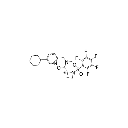 CN(Cc1ccc(C2CCCCC2)cn1)C(=O)[C@H]1CCN1S(=O)(=O)c1c(F)c(F)c(F)c(F)c1F